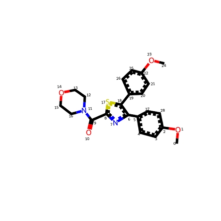 COc1ccc(-c2nc(C(=O)N3CCOCC3)sc2-c2ccc(OC)cc2)cc1